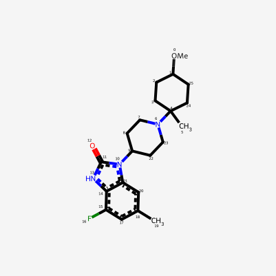 COC1CCC(C)(N2CCC(n3c(=O)[nH]c4c(F)cc(C)cc43)CC2)CC1